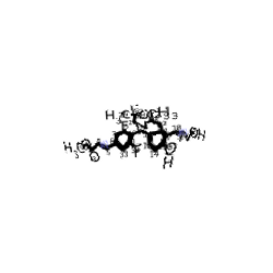 COC(=O)/C=C/c1cc(F)c(C2c3ccc(O)c(/C=N/O)c3CC(C)N2CC(C)(C)F)c(F)c1